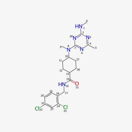 CNc1nc(C)nc(N(C)C2CCC(C(=O)NCc3ccc(Cl)cc3Cl)CC2)n1